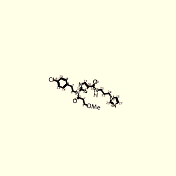 COCCC(=O)N(CCc1ccc(Cl)cc1)c1ncc(C(=O)NCCCn2ccnc2)s1